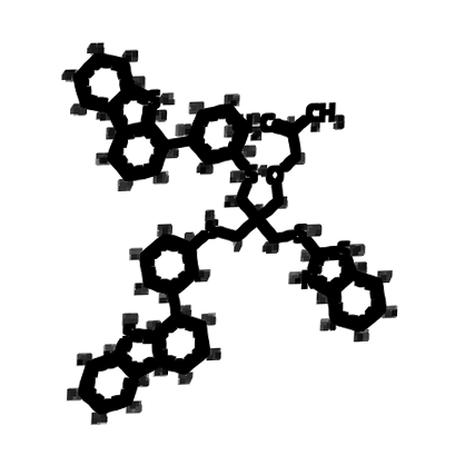 C=C(C)COCC(CSc1cccc(-c2cccc3c2sc2ccccc23)c1)(CSc1cccc(-c2cccc3c2sc2ccccc23)c1)CSc1nc2ccccc2s1